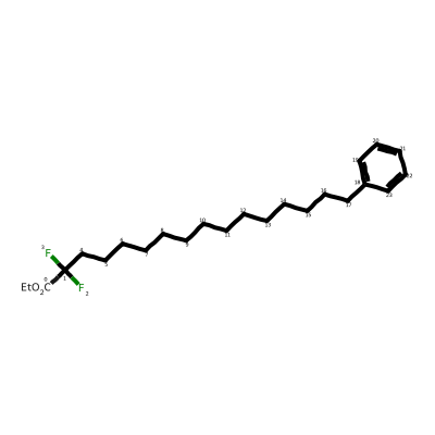 CCOC(=O)C(F)(F)CCCCCCCCCCCCCCc1ccccc1